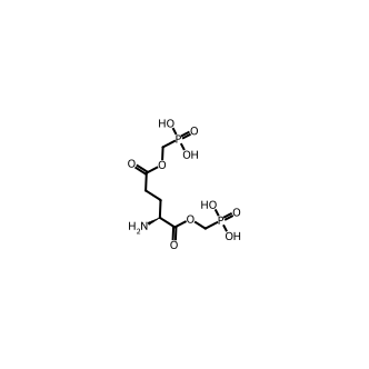 N[C@@H](CCC(=O)OCP(=O)(O)O)C(=O)OCP(=O)(O)O